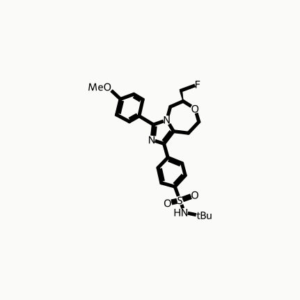 COc1ccc(-c2nc(-c3ccc(S(=O)(=O)NC(C)(C)C)cc3)c3n2C[C@@H](CF)OCC3)cc1